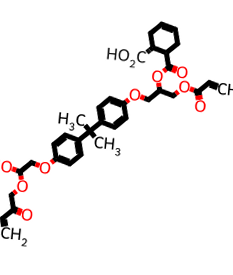 C=CC(=O)COC(O)COc1ccc(C(C)(C)c2ccc(OCC(COC(=O)C=C)OC(=O)C3CC=CCC3C(=O)O)cc2)cc1